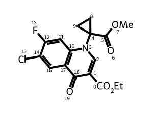 CCOC(=O)c1cn(C2(C(=O)OC)CC2)c2cc(F)c(Cl)cc2c1=O